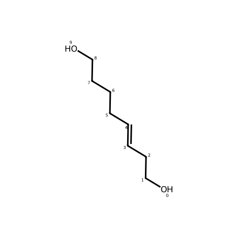 OCC/C=C/CCCCO